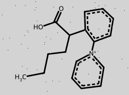 CCCCC(C(=O)O)c1ccccc1-[n+]1ccccc1